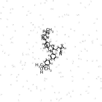 CC(C)(O)c1ccc(-c2cccc(N(CC34CCC(c5noc(C(C)(F)F)n5)(CC3)CC4)C(=O)CCC3(C#N)CC3)c2)cc1